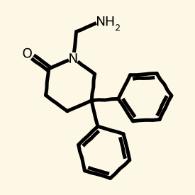 NCN1CC(c2ccccc2)(c2ccccc2)CCC1=O